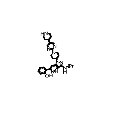 CC(C)Nc1nn(C2CCN(c3ncc(C4CCNCC4)cn3)CC2)c2cc(-c3ccccc3O)nnc12